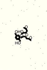 C1OC1CC(OC(CC1CO1)C1CO1)C1CO1.OCc1ccc(CO)cc1